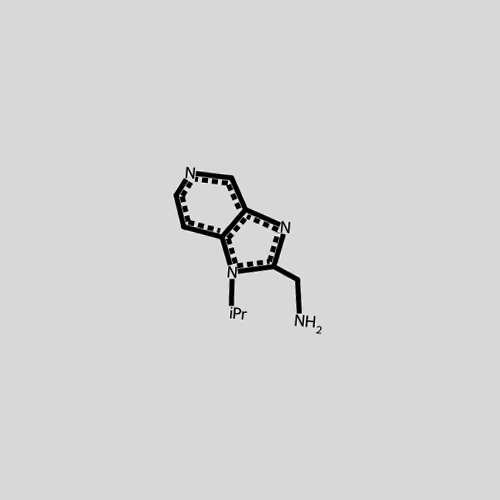 CC(C)n1c(CN)nc2cnccc21